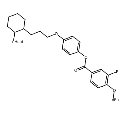 CCCCCCCC1CCCCC1CCCOc1ccc(OC(=O)c2ccc(OCCCC)c(F)c2)cc1